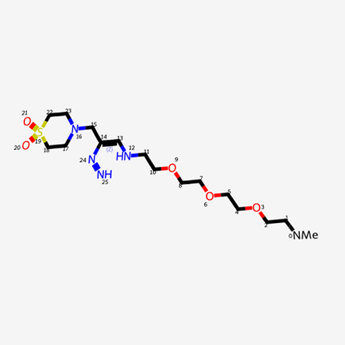 CNCCOCCOCCOCCN/C=C(/CN1CCS(=O)(=O)CC1)N=N